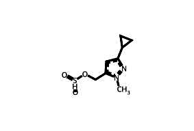 Cn1nc(C2CC2)cc1CO[SH](=O)=O